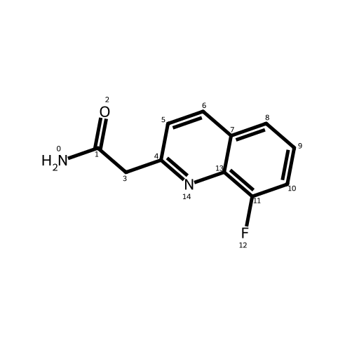 NC(=O)Cc1ccc2cccc(F)c2n1